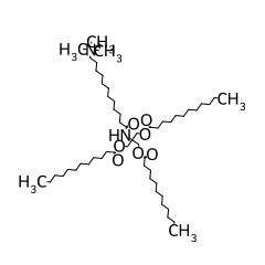 CCCCCCCCCCCC(=O)OCC(COC(=O)CCCCCCCCCCC)(COC(=O)CCCCCCCCCCC)NC(=O)CCCCCCCCCCC[N+](C)(C)C